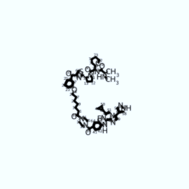 CN[C@@H](C)C(=O)N[C@H](C(=O)N1CCC[C@H]1c1nc(C(=O)c2cccc(OCCCCCCC(=O)N3CCN(C(=O)c4ccc(Nc5nc(C6CC6)cn6c(-c7cn[nH]c7)cnc56)c(F)c4)CC3)c2)cs1)C1CCCCC1